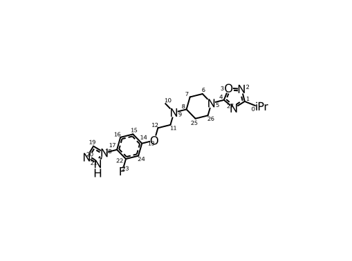 CC(C)c1noc(N2CCC(N(C)CCOc3ccc(-n4cn[nH]4)c(F)c3)CC2)n1